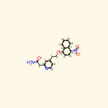 NC(=O)Cc1cc(CCOc2ccc([N+](=O)[O-])c3ccccc23)ccn1